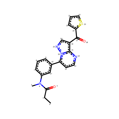 CCC(=O)N(C)c1cccc(-c2ccnc3c(C(=O)c4cccs4)cnn23)c1